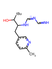 Cc1ccc(CC(N/C=N\C=N)C(O)C(C)(C)C)cn1